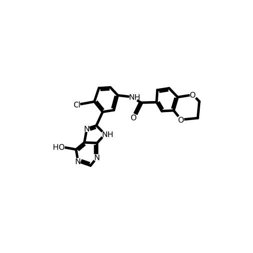 O=C(Nc1ccc(Cl)c(-c2nc3c(O)ncnc3[nH]2)c1)c1ccc2c(c1)OCCO2